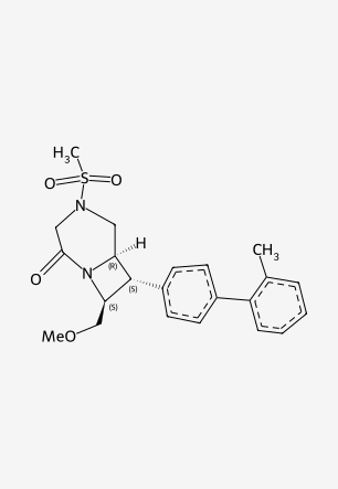 COC[C@@H]1[C@@H](c2ccc(-c3ccccc3C)cc2)[C@@H]2CN(S(C)(=O)=O)CC(=O)N12